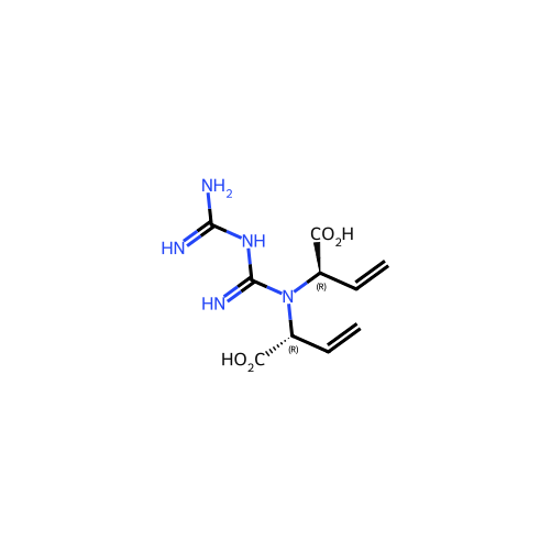 C=C[C@H](C(=O)O)N(C(=N)NC(=N)N)[C@H](C=C)C(=O)O